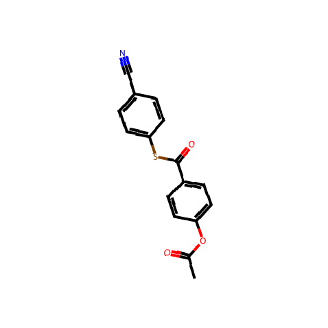 CC(=O)Oc1ccc(C(=O)Sc2ccc(C#N)cc2)cc1